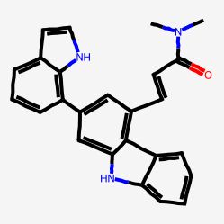 CN(C)C(=O)C=Cc1cc(-c2cccc3cc[nH]c23)cc2[nH]c3ccccc3c12